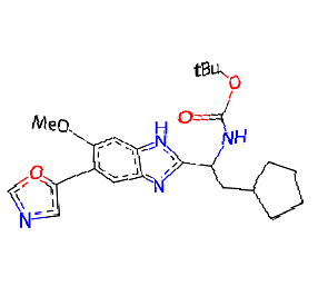 COc1cc2[nH]c(C(CC3CCCC3)NC(=O)OC(C)(C)C)nc2cc1-c1cnco1